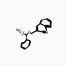 O=C(O)C(OCc1cnc2ccccc2c1)c1ccccc1